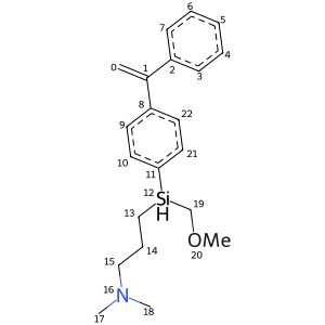 C=C(c1ccccc1)c1ccc([SiH](CCCN(C)C)COC)cc1